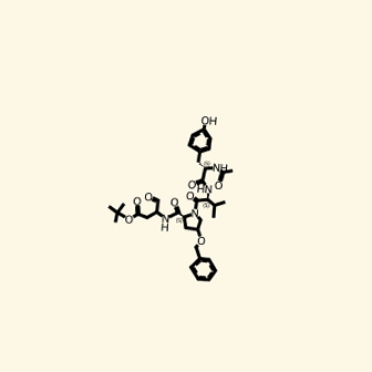 CC(=O)N[C@@H](Cc1ccc(O)cc1)C(=O)N[C@H](C(=O)N1CC(OCc2ccccc2)C[C@H]1C(=O)NC(C=O)CC(=O)OC(C)(C)C)C(C)C